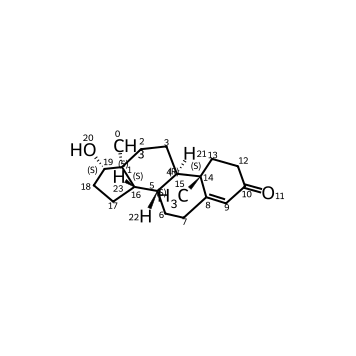 C[C@]12CC[C@@H]3[C@H](CCC4=CC(=O)CC[C@]43C)[C@@H]1CC[C@@H]2O